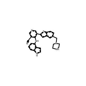 N#Cc1cncc(-c2cc3cc(CN4CCNCC4)ccc3s2)c1Nc1cccc2[nH]ccc12